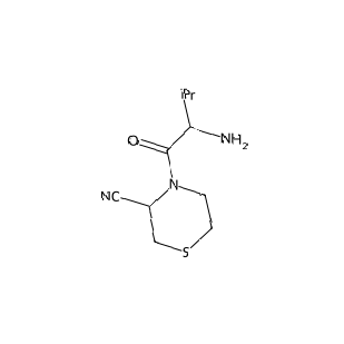 CC(C)C(N)C(=O)N1CCSCC1C#N